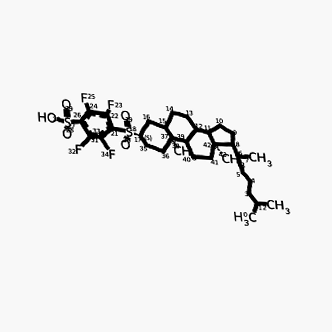 CC(C)CCCC(C)C1CCC2C3CCC4C[C@@H](S(=O)(=O)c5c(F)c(F)c(S(=O)(=O)O)c(F)c5F)CC[C@]4(C)C3CC[C@]12C